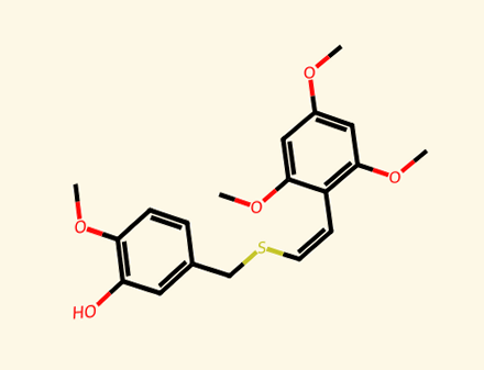 COc1cc(OC)c(/C=C\SCc2ccc(OC)c(O)c2)c(OC)c1